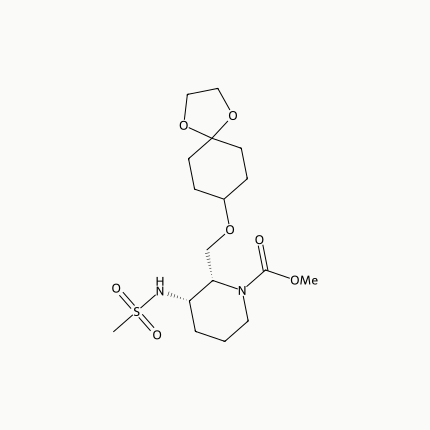 COC(=O)N1CCC[C@H](NS(C)(=O)=O)[C@@H]1COC1CCC2(CC1)OCCO2